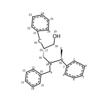 C[C@@H](c1ccccc1)N(Cc1ccccc1)C[C@@H](CO)Cc1ccccc1